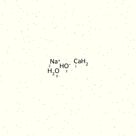 O.[CaH2].[Na+].[OH-]